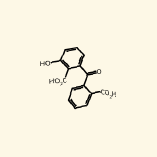 O=C(O)c1ccccc1C(=O)c1cccc(O)c1C(=O)O